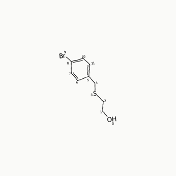 OCCSCc1ccc(Br)cc1